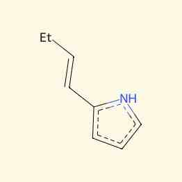 [CH2]CC=Cc1ccc[nH]1